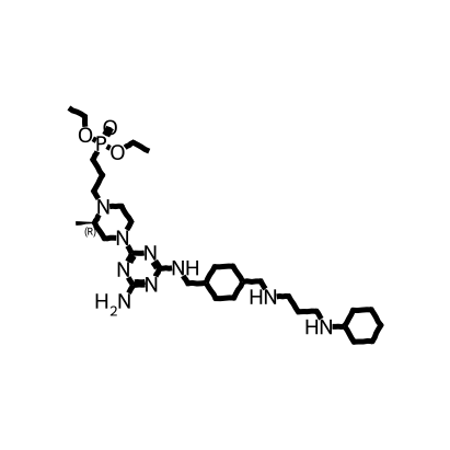 CCOP(=O)(CCCN1CCN(c2nc(N)nc(NCC3CCC(CNCCCNC4CCCCC4)CC3)n2)C[C@H]1C)OCC